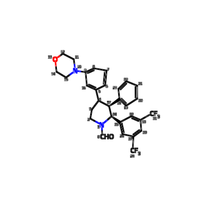 O=CN1CCC(c2cccc(N3CCOCC3)c2)[C@@H](c2ccccc2)[C@H]1c1cc(C(F)(F)F)cc(C(F)(F)F)c1